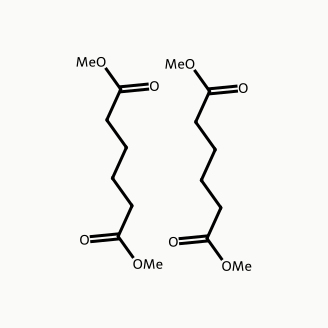 COC(=O)CCCCC(=O)OC.COC(=O)CCCCC(=O)OC